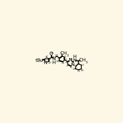 Cc1cc(-c2ccnc(NC(C)C3CCCCC3)n2)ccc1CNC(=O)c1cnc(C(C)(C)C)s1